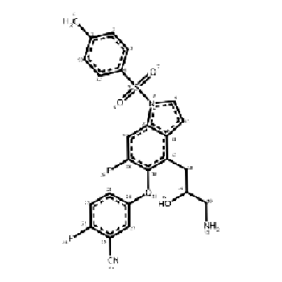 Cc1ccc(S(=O)(=O)n2ccc3c(CC(O)CN)c(Oc4ccc(F)c(C#N)c4)c(F)cc32)cc1